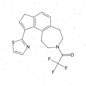 O=C(N1CCc2ccc3c(c2CC1)C(c1nccs1)=CC3)C(F)(F)F